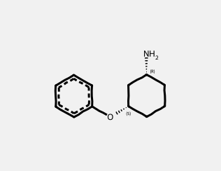 N[C@@H]1CCC[C@H](Oc2ccccc2)C1